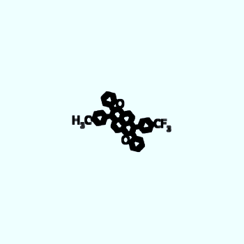 Cc1ccc(-c2c3ccc4c5oc6ccccc6c5c(-c5ccc(C(F)(F)F)cc5)c5ccc(c6oc7ccccc7c26)c3c54)cc1